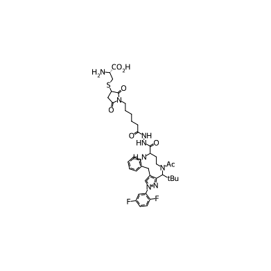 CC(=O)N(CCC(N)C(=O)NNC(=O)CCCCCN1C(=O)CC(SC[C@H](N)C(=O)O)C1=O)C(c1nn(-c2cc(F)ccc2F)cc1Cc1ccccc1)C(C)(C)C